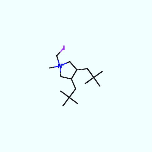 CC(C)(C)CC1C[N+](C)(CI)CC1CC(C)(C)C